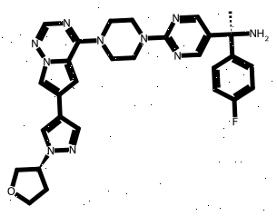 C[C@](N)(c1ccc(F)cc1)c1cnc(N2CCN(c3ncnn4cc(-c5cnn([C@H]6CCOC6)c5)cc34)CC2)nc1